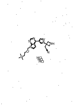 C[Si](C)(C)CCOCn1ccc2c(-c3cnn(C4(CC#N)CNC4)c3)ncnc21.Cl.Cl.Cl